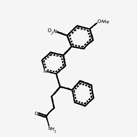 COc1ccc(-c2ccnc(C(CCC(N)=O)c3ccccc3)c2)c([N+](=O)[O-])c1